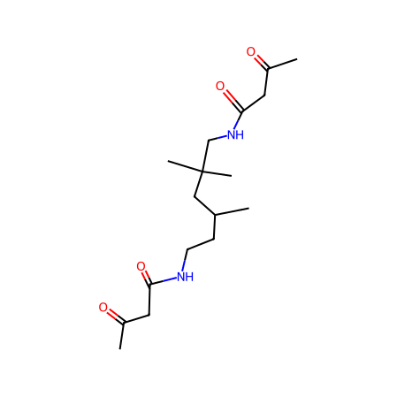 CC(=O)CC(=O)NCCC(C)CC(C)(C)CNC(=O)CC(C)=O